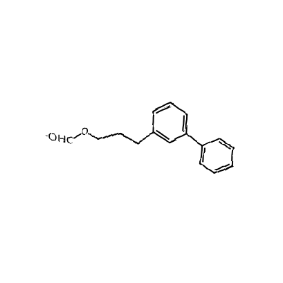 O=[C]OCCCc1cccc(-c2ccccc2)c1